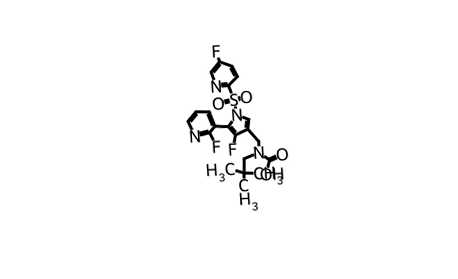 CC(C)(C)CN(Cc1cn(S(=O)(=O)c2ccc(F)cn2)c(-c2cccnc2F)c1F)C(=O)O